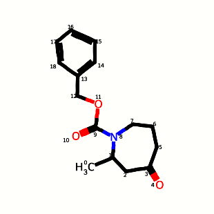 CC1CC(=O)CCCN1C(=O)OCc1ccccc1